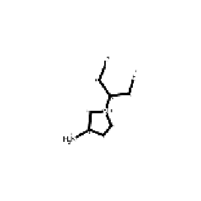 NC1CCN(C(CF)CF)C1